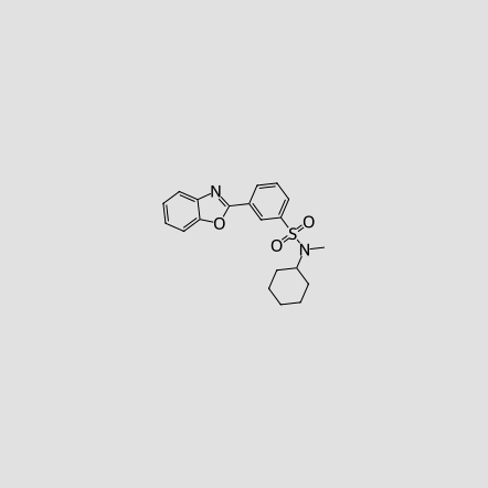 CN(C1CCCCC1)S(=O)(=O)c1cccc(-c2nc3ccccc3o2)c1